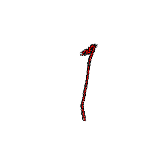 COCCOCCOCCOCCOCCOCCOCCOCCOCCOCCOCCOCCOCCOCCOCCOCCOCCOCCOCCOCCOCCOCCOCCOCCOCCOCCOCCOCCOCCOCCOCCOCCOCC(C)OCC(C)OCC(C)OCC(C)OCC(C)OCC(C)OCC(C)OCC(C)OCC(C)OCC(C)N